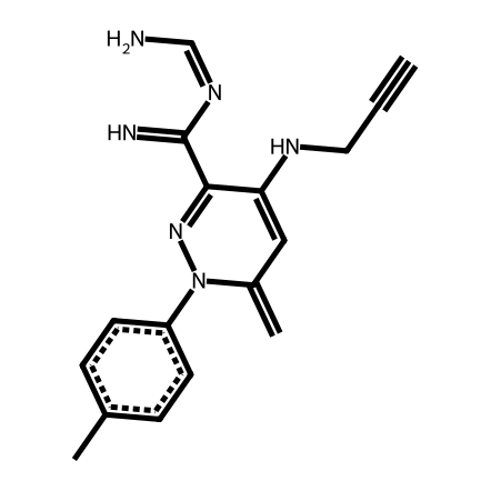 C#CCNC1=CC(=C)N(c2ccc(C)cc2)N=C1C(=N)/N=C\N